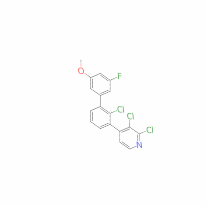 COc1cc(F)cc(-c2cccc(-c3ccnc(Cl)c3Cl)c2Cl)c1